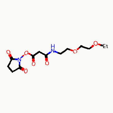 CCOCCOCCNC(=O)CC(=O)ON1C(=O)CCC1=O